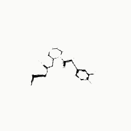 CCCC(=N)CC1CSCCN1C(=O)Cc1ccc(Cl)c(Cl)c1